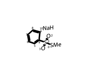 CSS(=O)(=O)c1ccccc1.[NaH]